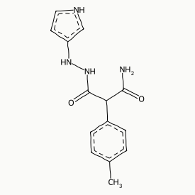 Cc1ccc(C(C(N)=O)C(=O)NNc2cc[nH]c2)cc1